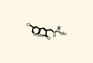 CC(C)(C)[S+]([O-])NCc1cc2cc(Cl)cnc2[nH]c1=O